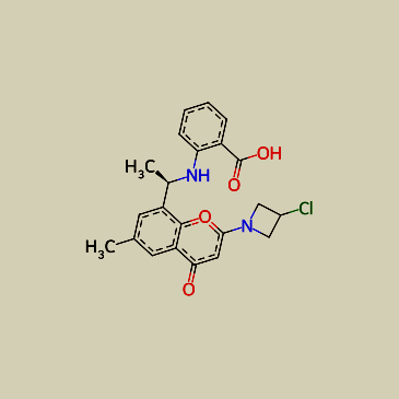 Cc1cc([C@@H](C)Nc2ccccc2C(=O)O)c2oc(N3CC(Cl)C3)cc(=O)c2c1